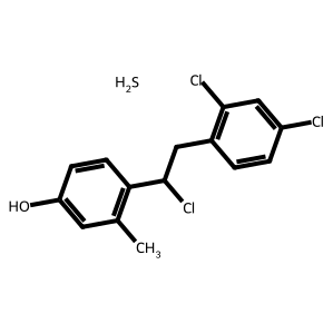 Cc1cc(O)ccc1C(Cl)Cc1ccc(Cl)cc1Cl.S